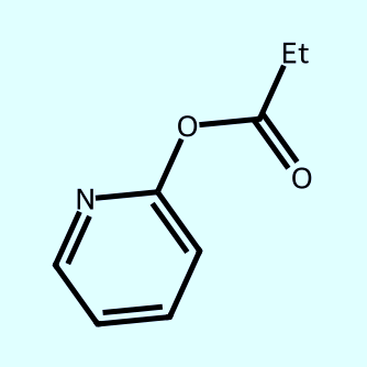 CCC(=O)Oc1ccccn1